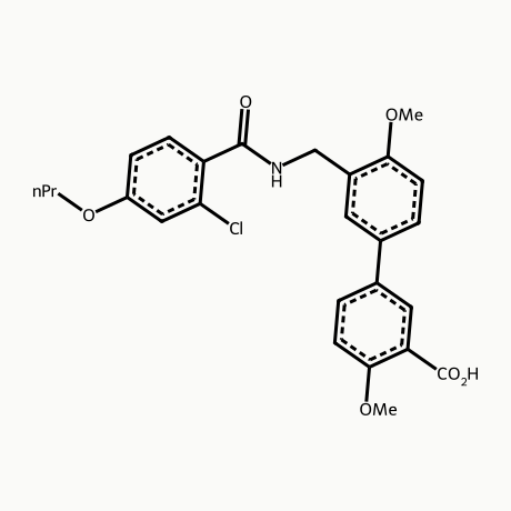 CCCOc1ccc(C(=O)NCc2cc(-c3ccc(OC)c(C(=O)O)c3)ccc2OC)c(Cl)c1